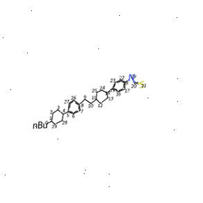 CCCCC1CCC(c2ccc(CCC3CCC(c4ccc(N=C=S)cc4)CC3)cc2)CC1